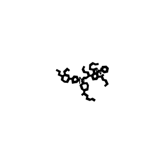 C=C/C=C\C=C(/C)C1=CCCC(N(/C=C/C(=C\C=C/C)c2ccc(/C(C)=C/C=C\C)c3c2c(C/C=C\CC)cn3-c2ccccc2)c2ccc(C3=CCC=C(CCC)C(/C=C\C)=C3)cc2)C=C1